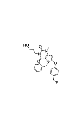 Cn1c(=O)n(CCCO)c(=O)c2c1nc(Oc1ccc(CF)cc1)n2Cc1ccccc1